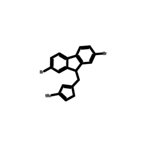 CC(C)(C)C1=CCC(CC2c3cc(Br)ccc3-c3ccc(Br)cc32)=C1